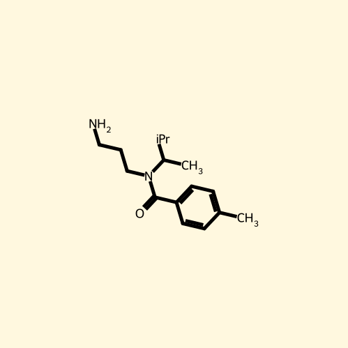 Cc1ccc(C(=O)N(CCCN)C(C)C(C)C)cc1